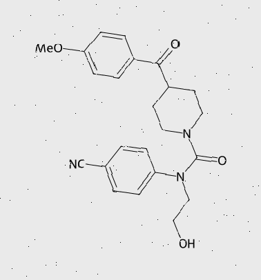 COc1ccc(C(=O)C2CCN(C(=O)N(CCO)c3ccc(C#N)cc3)CC2)cc1